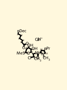 CCCCCCCCCCCCCCCC(=O)O[C@@H]1[C@@H](O)[C@@H](O)[C@@H](C(NC(=O)[C@@H]2C[C@@H](CCC)CN2C)C(C)Cl)O[C@@H]1SC.[Cl-].[H+]